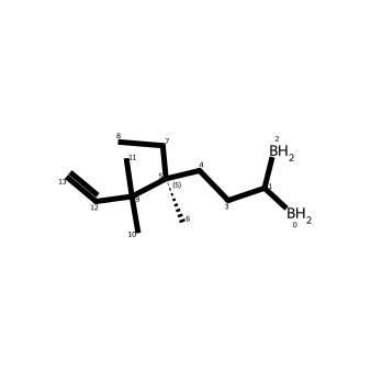 BC(B)CC[C@](C)(CC)C(C)(C)C=C